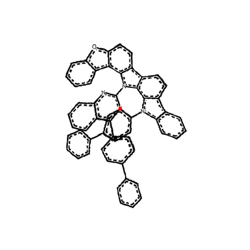 c1ccc(-c2ccc(-c3nc(-n4c5c(ccc6oc7ccccc7c65)c5ccc6c7ccccc7n(-c7ccc(-c8ccccc8)cc7)c6c54)nc4ccccc34)cc2)cc1